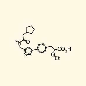 CCOC(Cc1ccc(-c2csc(CN(C)C(=O)CC3CCCC3)c2)cc1)C(=O)O